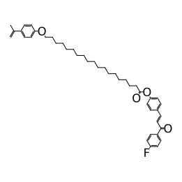 C=C(C)c1ccc(OCCCCCCCCCCCCCCCCCCC(=O)Oc2ccc(C=CC(=O)c3ccc(F)cc3)cc2)cc1